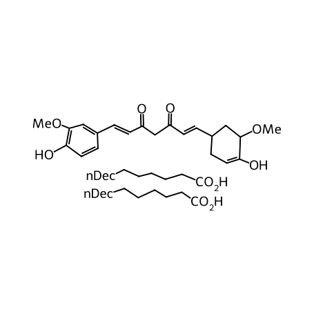 CCCCCCCCCCCCCCCC(=O)O.CCCCCCCCCCCCCCCC(=O)O.COc1cc(/C=C/C(=O)CC(=O)/C=C/C2CC=C(O)C(OC)C2)ccc1O